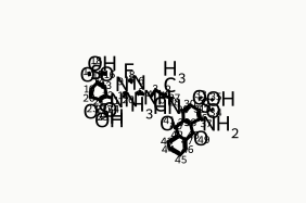 CC(C)(CNc1nc(F)nc(Nc2cc(S(=O)(=O)O)ccc2S(=O)(=O)O)n1)CNc1cc(S(=O)(=O)O)c(N)c2c1C(=O)c1ccccc1C2=O